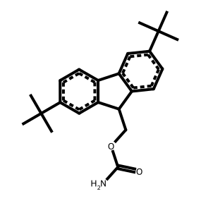 CC(C)(C)c1ccc2c(c1)-c1ccc(C(C)(C)C)cc1C2COC(N)=O